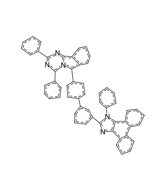 c1ccc(-c2nc(-c3ccccc3)n3c(-c4ccc(-c5cccc(-c6nc7c8ccccc8c8ccccc8c7n6-c6ccccc6)c5)cc4)c4ccccc4c3n2)cc1